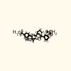 CC(F)(F)c1ccc([C@H](NC(=O)[C@H]2CCCN2C(=O)c2cccc(S(C)(=O)=O)c2)C2(O)CC2)c(F)c1